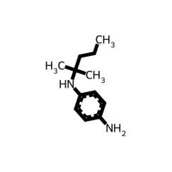 CCCC(C)(C)Nc1ccc(N)cc1